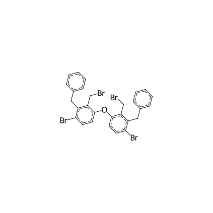 BrCc1c(Oc2ccc(Br)c(Cc3ccccc3)c2CBr)ccc(Br)c1Cc1ccccc1